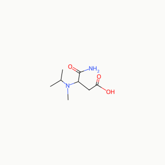 CC(C)N(C)C(CC(=O)O)C(N)=O